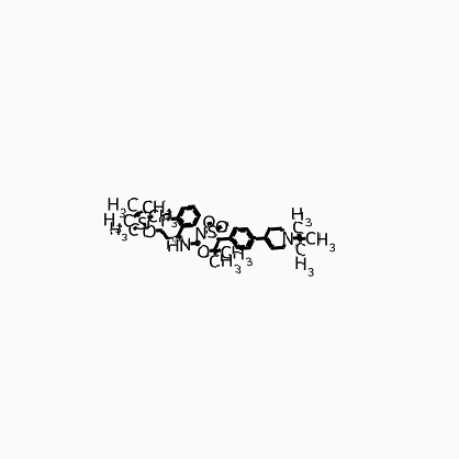 CC1(C)OC(N[C@@H](CCO[Si](C)(C)C(C)(C)C)c2ccccc2F)=NS(=O)(=O)C1c1ccc(C2=CCN(C(C)(C)C)CC2)cc1